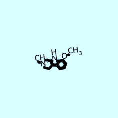 CCOc1cccc2c3c([nH]c12)CN(CC)CC3